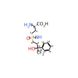 N=[S@@](=O)(CC[C@H](N)C(=O)O)CC[C@@](O)(c1ccccc1)C(F)(F)F